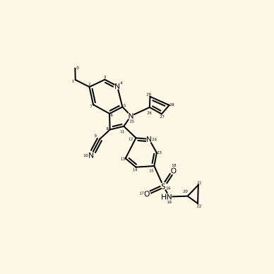 CCc1cnc2c(c1)c(C#N)c(-c1ccc(S(=O)(=O)NC3CC3)cn1)n2C1=CC=C1